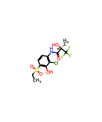 CCS(=O)(=O)c1ccc(NC(=O)[C@@](C)(O)C(F)(F)F)c(Cl)c1O